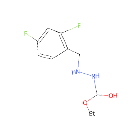 CCOC(O)NNCc1ccc(F)cc1F